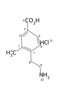 Cc1cc(C(=O)O)ccc1CCN.Cl